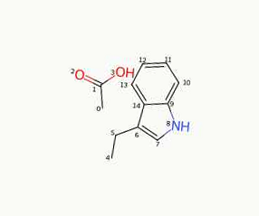 CC(=O)O.CCc1c[nH]c2ccccc12